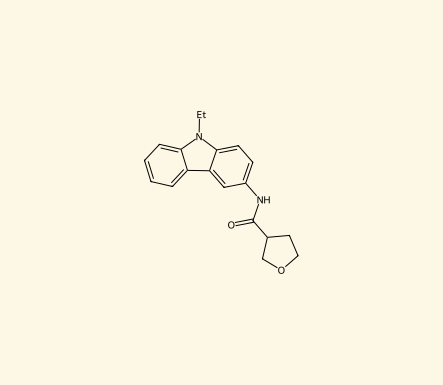 CCn1c2ccccc2c2cc(NC(=O)C3CCOC3)ccc21